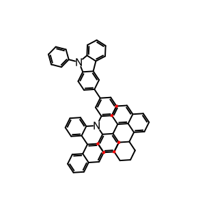 c1ccc(-n2c3ccccc3c3cc(-c4cccc(N(c5ccccc5-c5cccc6ccccc56)c5ccccc5-c5cccc6cccc(C7CCCCC7)c56)c4)ccc32)cc1